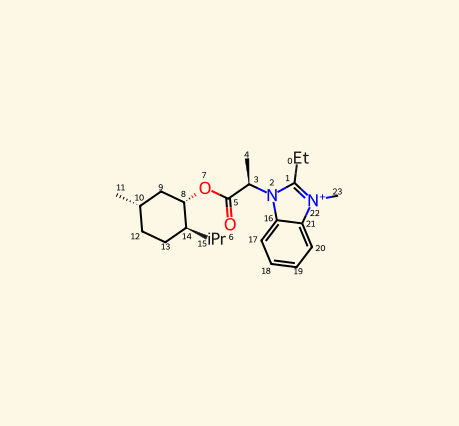 CCc1n([C@H](C)C(=O)O[C@H]2C[C@@H](C)CC[C@@H]2C(C)C)c2ccccc2[n+]1C